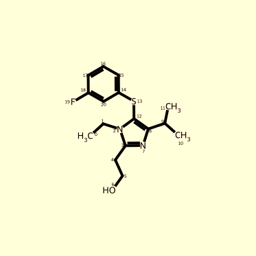 CCn1c(CCO)nc(C(C)C)c1Sc1cccc(F)c1